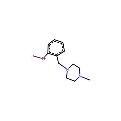 CCPc1ccccc1CN1CCN(C)CC1